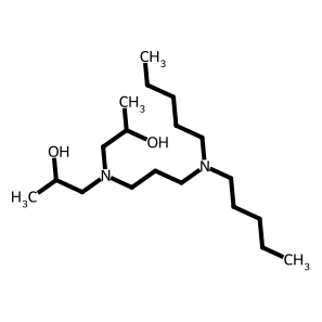 CCCCCN(CCCCC)CCCN(CC(C)O)CC(C)O